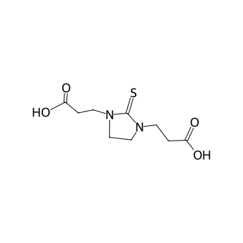 O=C(O)CCN1CCN(CCC(=O)O)C1=S